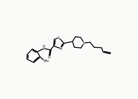 C=CCCCN1CCC(c2nc(C(=O)Nc3ccccc3C(C)(C)C)cs2)CC1